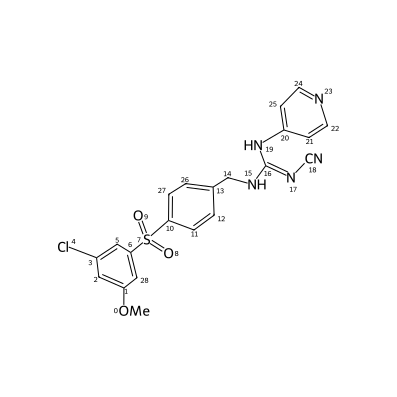 COc1cc(Cl)cc(S(=O)(=O)c2ccc(CNC(=NC#N)Nc3ccncc3)cc2)c1